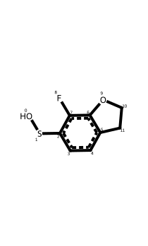 OSc1ccc2c(c1F)OCC2